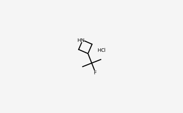 CC(C)(F)C1CNC1.Cl